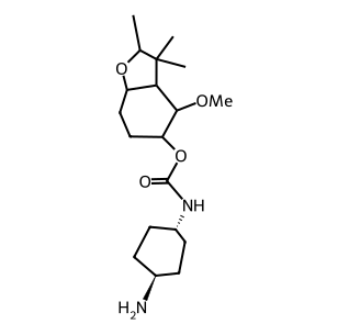 COC1C(OC(=O)N[C@H]2CC[C@H](N)CC2)CCC2OC(C)C(C)(C)C21